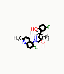 Cc1ccc2c(NCC(O)(CC(C)(C)c3cc(F)ccc3O)C(F)(F)F)c(Cl)ccc2n1